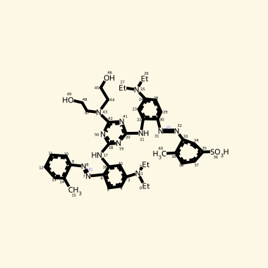 CCN(CC)c1ccc(/N=N/c2ccccc2C)c(Nc2nc(Nc3cc(N(CC)CC)ccc3/N=N/c3cc(S(=O)(=O)O)ccc3C)nc(N(CCO)CCO)n2)c1